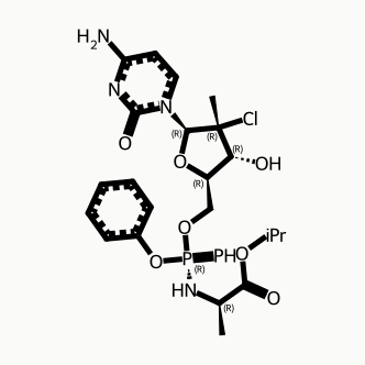 CC(C)OC(=O)[C@@H](C)N[P@@](=P)(OC[C@H]1O[C@@H](n2ccc(N)nc2=O)[C@](C)(Cl)[C@@H]1O)Oc1ccccc1